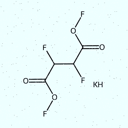 O=C(OF)C(F)C(F)C(=O)OF.[KH]